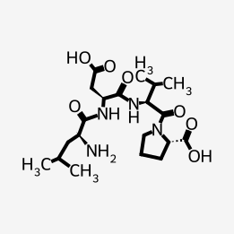 CC(C)C[C@H](N)C(=O)N[C@@H](CC(=O)O)C(=O)N[C@H](C(=O)N1CCC[C@H]1C(=O)O)C(C)C